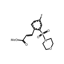 COC(=O)/C=C/c1ccc(F)cc1S(=O)(=O)N1CCOCC1